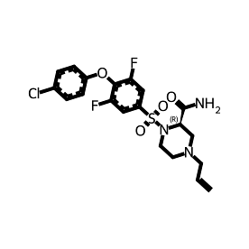 C=CCN1CCN(S(=O)(=O)c2cc(F)c(Oc3ccc(Cl)cc3)c(F)c2)[C@@H](C(N)=O)C1